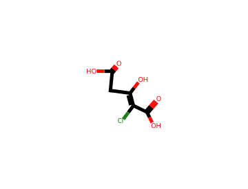 O=C(O)CC(O)=C(Cl)C(=O)O